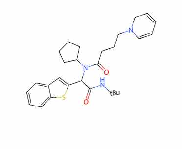 CC(C)(C)NC(=O)C(c1cc2ccccc2s1)N(C(=O)CCCN1C=CC=CC1)C1CCCC1